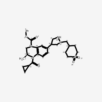 CC(C)OC(=O)N1C[C@H](C)N(C(=O)C2CC2)c2ccc(C3CNN(CC4CCS(=O)(=O)CC4)C3)cc21